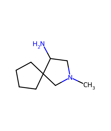 CN1CC(N)C2(CCCC2)C1